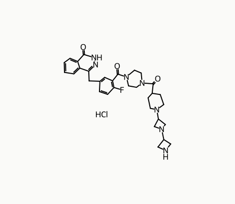 Cl.O=C(c1cc(Cc2n[nH]c(=O)c3ccccc23)ccc1F)N1CCN(C(=O)C2CCN(C3CN(C4CNC4)C3)CC2)CC1